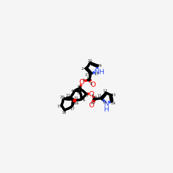 O=C(OC1C2CC(C1OC(=O)c1ccc[nH]1)C1C3CCC(C3)C21)c1ccc[nH]1